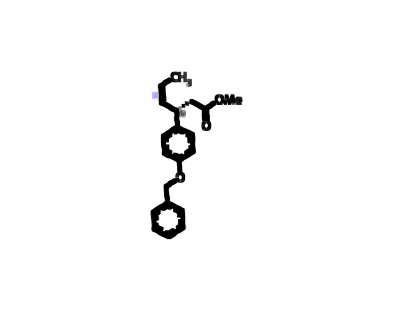 C/C=C\[C@H](CC(=O)OC)c1ccc(OCc2ccccc2)cc1